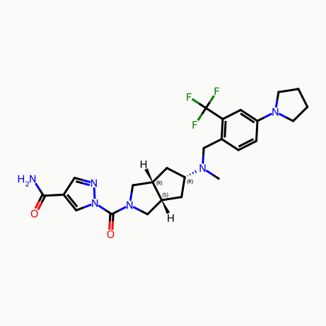 CN(Cc1ccc(N2CCCC2)cc1C(F)(F)F)[C@@H]1C[C@@H]2CN(C(=O)n3cc(C(N)=O)cn3)C[C@@H]2C1